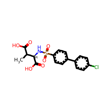 CC(C(=O)O)[C@@H](NS(=O)(=O)c1ccc(-c2ccc(Cl)cc2)cc1)C(=O)O